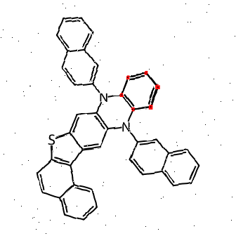 c1ccc(N(c2ccc3ccccc3c2)c2cc3sc4ccc5ccccc5c4c3cc2N(c2ccccc2)c2ccc3ccccc3c2)cc1